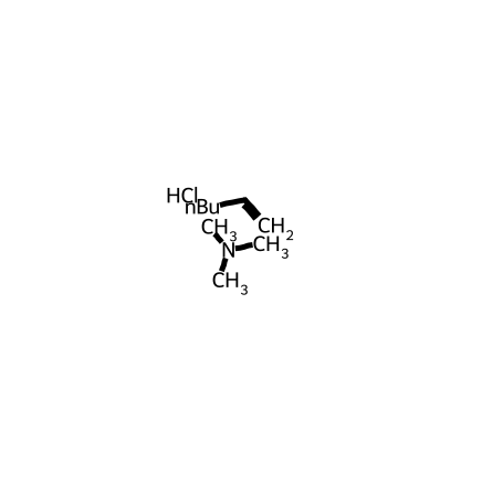 C=CCCCC.CN(C)C.Cl